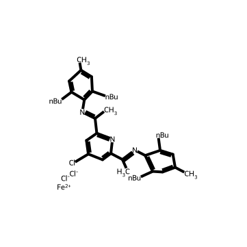 CCCCc1cc(C)cc(CCCC)c1N=C(C)c1cc(Cl)cc(C(C)=Nc2c(CCCC)cc(C)cc2CCCC)n1.[Cl-].[Cl-].[Fe+2]